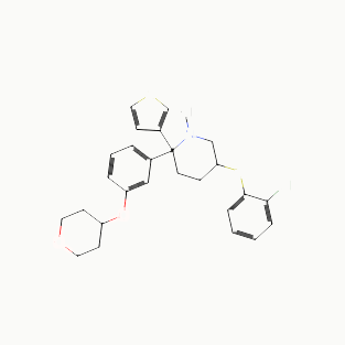 CN1CC(Sc2ccccc2Cl)CCC1(c1ccsc1)c1cccc(OC2CCOCC2)c1